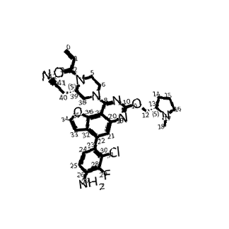 C=CC(=O)N1CCN(c2nc(OC[C@@H]3CCCN3C)nc3cc(-c4ccc(N)c(F)c4Cl)c4ccoc4c23)C[C@@H]1CC#N